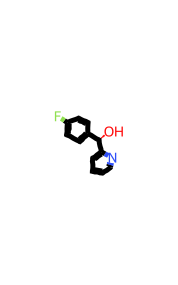 O[C@@H](c1ccc(F)cc1)c1ccccn1